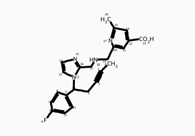 CC#CCC(c1ccc(F)cc1)n1ccnc1CNCc1cc(C(=O)O)cc(C)n1